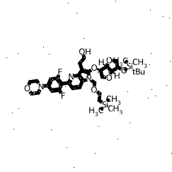 CC(C)(C)[Si](C)(C)OC1CO[C@H]2[C@@H]1OC[C@H]2Oc1c(CCO)c2nc(-c3c(F)cc(N4CCOCC4)cc3F)ccc2n1COCC[Si](C)(C)C